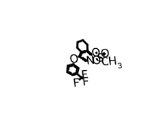 CS(=O)(=O)Oc1ncc(Oc2cccc(C(F)(F)F)c2)c2c1CCCC2